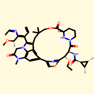 C=C/C(=C(\N=C/C)[C@H](C)OC)c1c2c3cc(cc4c3n1CC(=O)N4C)-c1csc(n1)[C@@H](OCC)[C@H](NC(=O)[C@H]1[C@H](C)[C@@H]1C)C(=O)N1CCC[C@H](N1)C(=O)OCC(C)(C)C2